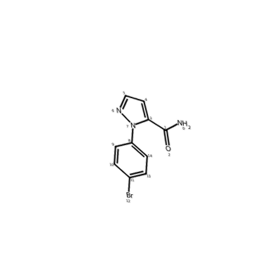 NC(=O)c1ccnn1-c1ccc(Br)cc1